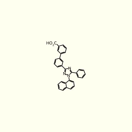 O=C(O)c1cccc(-c2cccc(-c3nc(-c4ccccc4)n(-c4cccc5ccccc45)n3)c2)c1